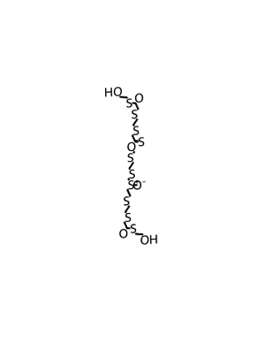 O=C(CSCCSCC[S+]([O-])CSCCSCOC(=S)CSCCSCC(=O)SCCO)SCCO